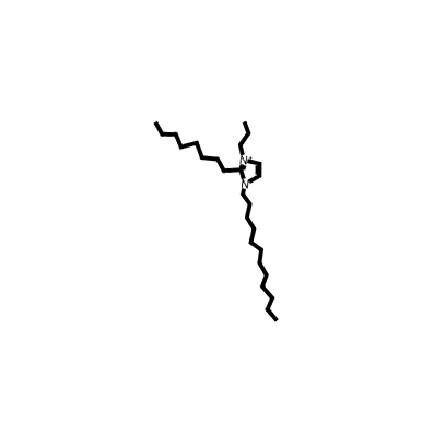 CCCCCCCCCCCCn1cc[n+](CCC)c1CCCCCCCC